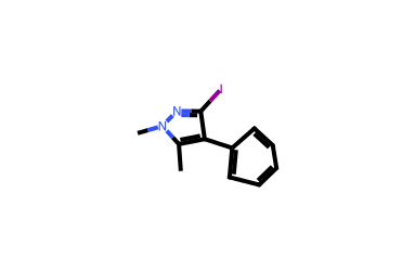 Cc1c(-c2ccccc2)c(I)nn1C